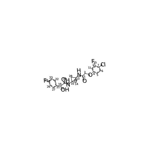 O=C(COc1ccc(Cl)c(F)c1)NC12CC(NC(=O)C(O)c3ccc(F)cc3)(C1)C2